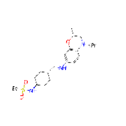 CCS(=O)(=O)N[C@H]1CC[C@H](CNc2ccc3c(c2)OC(C)CN3C(C)C)CC1